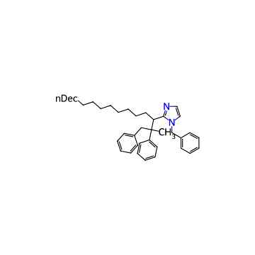 CCCCCCCCCCCCCCCCCCC(c1nccn1Cc1ccccc1)C(C)(Cc1ccccc1)c1ccccc1